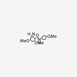 COc1ccc(NC(=O)c2c(N)cc(OC)cc2OC)cc1